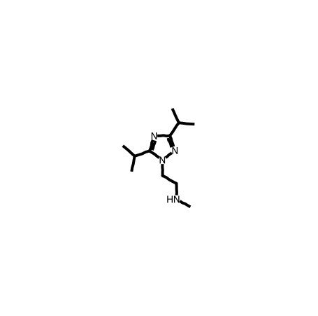 CNCCn1nc(C(C)C)nc1C(C)C